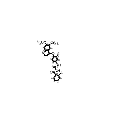 COc1cc2nccc(Oc3ccc(NC(=S)NC(=O)c4ccccc4I)cc3F)c2cc1OC